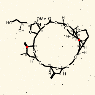 C=C1C[C@@H]2CCO[C@@H]3C4CO[C@@H]5[C@H](O4)[C@H]3O[C@H]3CC[C@H](CC(=O)C[C@H]4C(C[C@H]6O[C@@H](CC[C@@H]1O2)C[C@@H](C)C6=C)O[C@H](C[C@H](O)CO)[C@@H]4OC)O[C@H]53